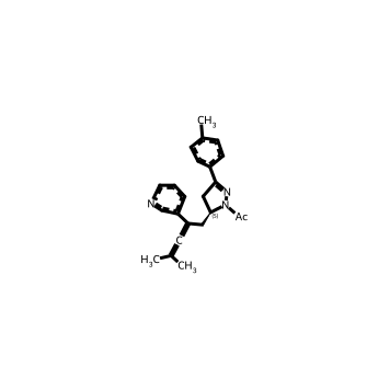 CC(=O)N1N=C(c2ccc(C)cc2)C[C@@H]1CC(=C=C(C)C)c1cccnc1